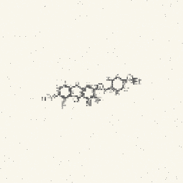 CCCc1ccc2c(c1F)Oc1c(cc(OCC3CCC(OCC)CC3)c(F)c1F)C2